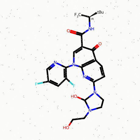 CC(C)(C)[C@@H](NC(=O)c1cn(-c2ncc(F)cc2F)c2nc(N3CCN(CCO)C3O)ccc2c1=O)C(F)(F)F